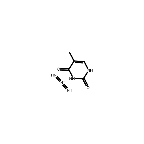 Cc1c[nH]c(=O)[nH]c1=O.N=[N+]=N